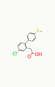 CSc1ccc(-c2ccc(Cl)cc2CC(=O)O)cc1